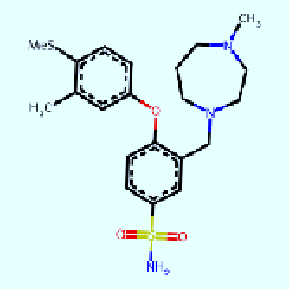 CSc1ccc(Oc2ccc(S(N)(=O)=O)cc2CN2CCCN(C)CC2)cc1C